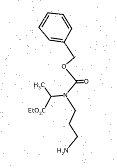 CCOC(=O)C(C)N(CCCN)C(=O)OCc1ccccc1